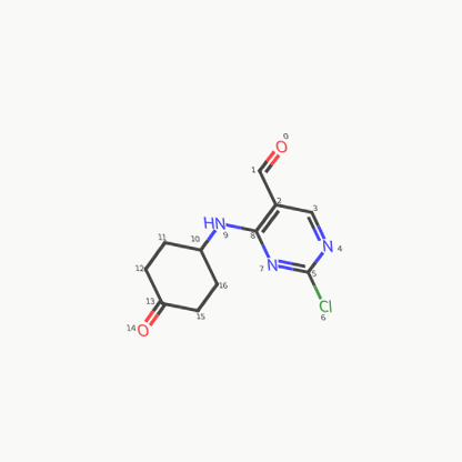 O=Cc1cnc(Cl)nc1NC1CCC(=O)CC1